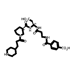 O=C(O)C[C@@H](NC(=O)CCNC(=O)c1ccc(C(=O)O)cc1)NC(=O)[C@@H]1CCCN(C(=O)CCC2CCNCC2)C1